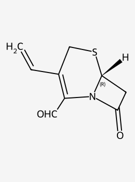 C=CC1=C(C=O)N2C(=O)C[C@H]2SC1